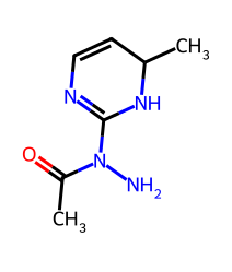 CC(=O)N(N)C1=NC=CC(C)N1